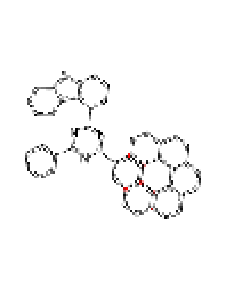 c1ccc(-c2nc(-c3ccc(-c4cccc5ccc6ccc7cccc(-c8ccccc8)c7c6c45)cc3)nc(-c3cccc4sc5ccccc5c34)n2)cc1